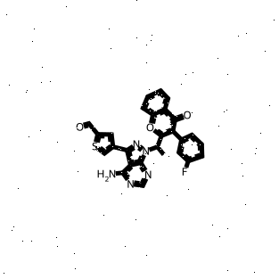 CC(c1oc2ccccc2c(=O)c1-c1cccc(F)c1)n1nc(-c2csc(C=O)c2)c2c(N)ncnc21